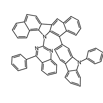 c1ccc(-c2nc(-n3c4c(-c5ccc6c7ccccc7n(-c7ccccc7)c6c5)c5ccccc5cc4c4ccc5ccccc5c43)nc3ccccc23)cc1